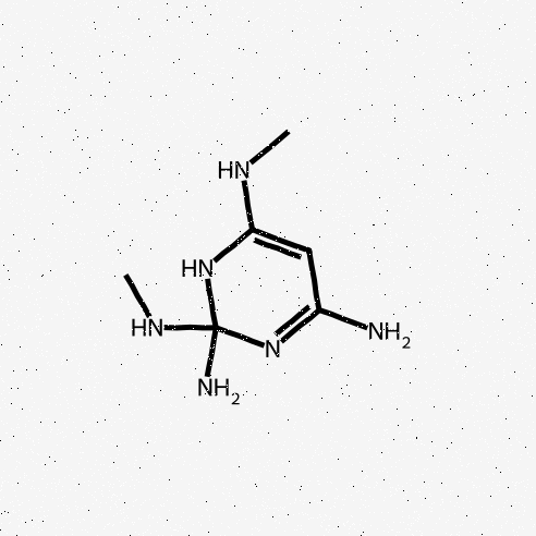 CNC1=CC(N)=NC(N)(NC)N1